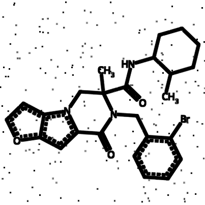 CC1CCCCC1NC(=O)C1(C)Cn2c(cc3occc32)C(=O)N1Cc1ccccc1Br